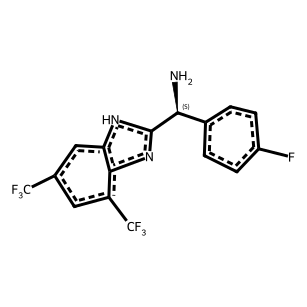 N[C@@H](c1ccc(F)cc1)c1nc2c(C(F)(F)F)cc(C(F)(F)F)cc2[nH]1